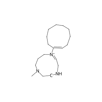 CN1CCC[N+](/C2=C/CCCCCCCC2)=C\CNCC1